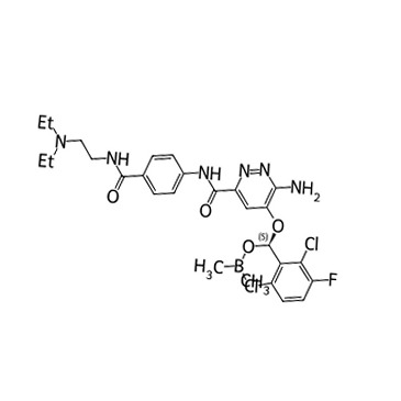 CCN(CC)CCNC(=O)c1ccc(NC(=O)c2cc(O[C@H](OB(C)C)c3c(Cl)ccc(F)c3Cl)c(N)nn2)cc1